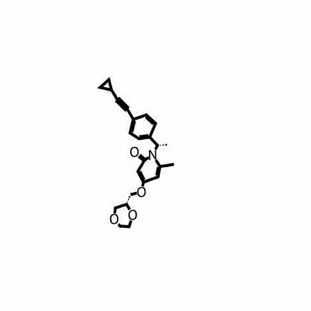 Cc1cc(OC[C@H]2COCCO2)cc(=O)n1[C@@H](C)c1ccc(C#CC2CC2)cc1